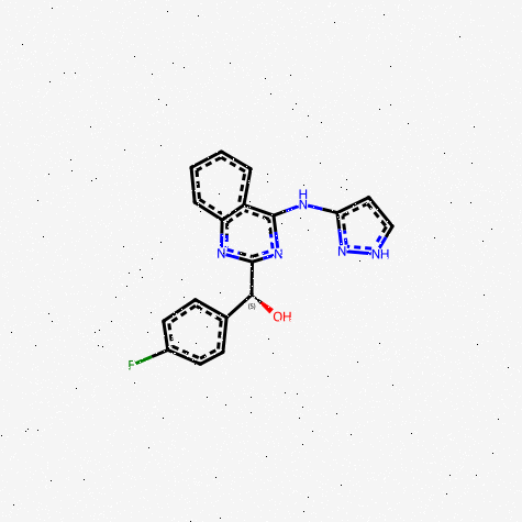 O[C@@H](c1ccc(F)cc1)c1nc(Nc2cc[nH]n2)c2ccccc2n1